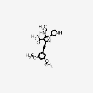 CCNc1c(C(N)=O)c(C#Cc2cc(OC)cc(OC)c2)nn1C1CCNC1